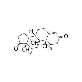 C[C@]12CCC(=O)C=C1CC[C@@H]1C2=CC[C@]2(C)C(=O)CC[C@@]12O